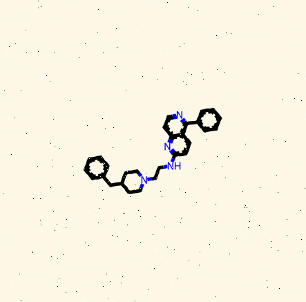 c1ccc(CC2CCN(CCNc3ccc4c(-c5ccccc5)nccc4n3)CC2)cc1